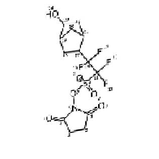 O=C1CCC(=O)N1OS(=O)(=O)C(F)(F)C(F)(F)C1CC2CC1CC2O